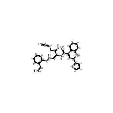 [N-]=[N+]=NCC(=N)/C(=C\NCc1ccccc1C=N)NC(=O)C1=CC(c2cccs2)Nc2ccccc21